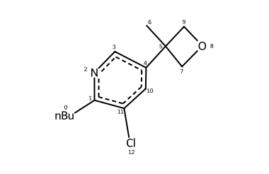 CCCCc1ncc(C2(C)COC2)cc1Cl